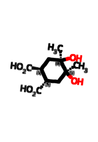 C[C@]1(O)C[C@H](C(=O)O)[C@@H](C(=O)O)C[C@@]1(C)O